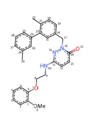 COc1ccccc1OCCNc1ccc(=O)n(Cc2ccc(C)c(-c3cccc(C)c3)c2)n1